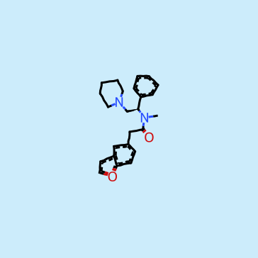 CN(C(=O)Cc1ccc2occc2c1)[C@@H](CN1CCCCC1)c1ccccc1